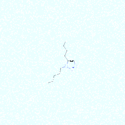 CCCCCn1nncc1CCCC